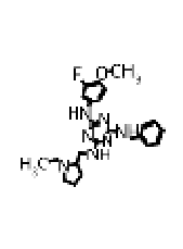 CCN1CCCC1CNc1nc(NCc2ccccc2)nc(Nc2ccc(OC)c(F)c2)n1